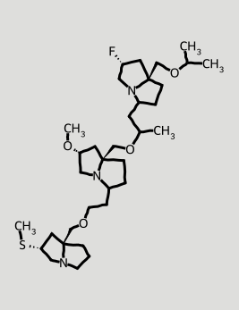 CO[C@H]1CN2C(CCOC[C@@]34CCCN3C[C@H](SC)C4)CC[C@@]2(COC(C)CC2CC[C@@]3(COC(C)C)C[C@@H](F)CN23)C1